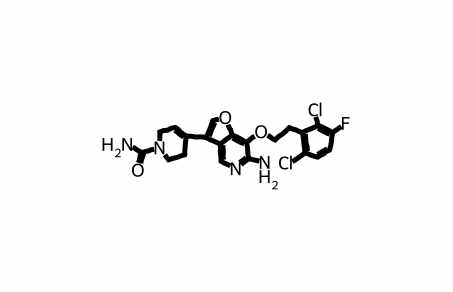 NC(=O)N1CC=C(c2coc3c(OCCc4c(Cl)ccc(F)c4Cl)c(N)ncc23)CC1